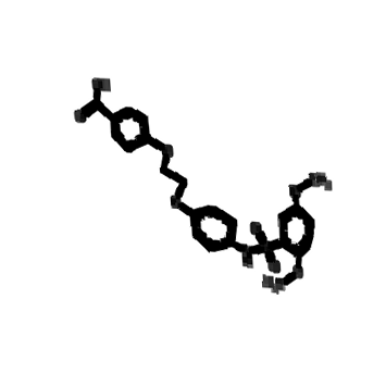 COc1ccc(OC)c(S(=O)(=O)Nc2ccc(OCCOc3ccc(C(=O)O)cc3)cc2)c1